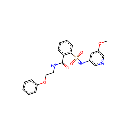 COc1cncc(NS(=O)(=O)c2ccccc2C(=O)NCCOc2ccccc2)c1